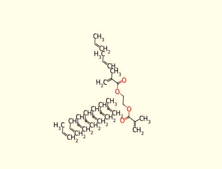 C=C(C)C(=O)OCCOC(=O)C(=C)C.C=CC.C=CC.C=CC.C=CC.C=CC.C=CC.C=CC.C=CC.C=CC